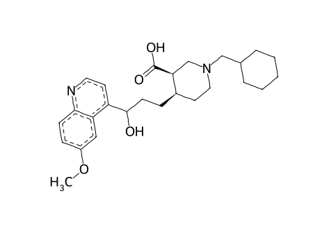 COc1ccc2nccc(C(O)CC[C@@H]3CCN(CC4CCCCC4)C[C@@H]3C(=O)O)c2c1